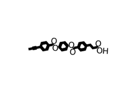 CC#Cc1ccc(C(=O)Oc2ccc(OC(=O)c3ccc(CCC(=O)O)cc3)cc2)cc1